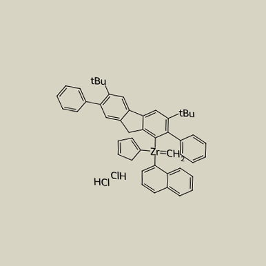 Cl.Cl.[CH2]=[Zr]([C]1=CC=CC1)([c]1c2c(cc(C(C)(C)C)c1-c1ccccc1)-c1cc(C(C)(C)C)c(-c3ccccc3)cc1C2)[c]1cccc2ccccc12